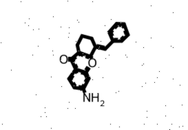 Nc1ccc2c(=O)c3c(oc2c1)C(=Cc1ccccc1)CCC3